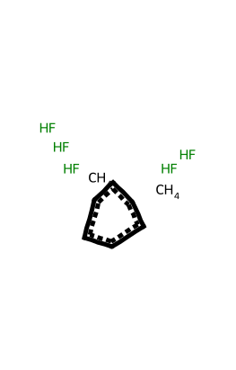 C.C.F.F.F.F.F.c1ccccc1